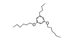 [CH2]CCCc1cc(OCCCCCC)cc(OCCCCCC)c1